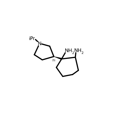 CC(C)N1CC[C@H](C2(N)CCCCC2N)C1